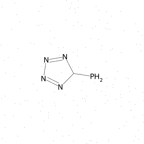 PC1N=NN=N1